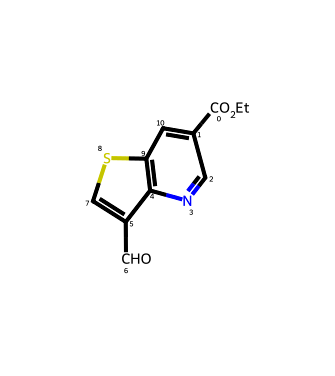 CCOC(=O)c1cnc2c(C=O)csc2c1